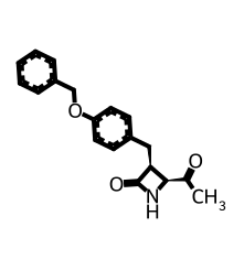 CC(=O)[C@H]1NC(=O)[C@H]1Cc1ccc(OCc2ccccc2)cc1